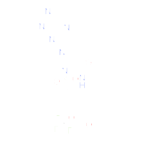 COCc1ccc(CNC(=O)[C@H]2CN(c3cnc4cncnc4n3)CCN2S(=O)(=O)c2ccc(OC(F)(F)F)cc2)cc1